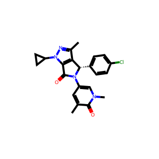 Cc1nn(C2CC2)c2c1[C@H](c1ccc(Cl)cc1)N(c1cc(C)c(=O)n(C)c1)C2=O